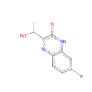 CC(O)c1nc2ccc(Br)cc2[nH]c1=O